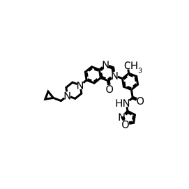 Cc1ccc(C(=O)Nc2ccon2)cc1-n1cnc2ccc(N3CCN(CC4CC4)CC3)cc2c1=O